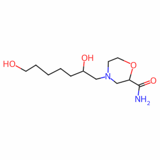 NC(=O)C1CN(CC(O)CCCCCO)CCO1